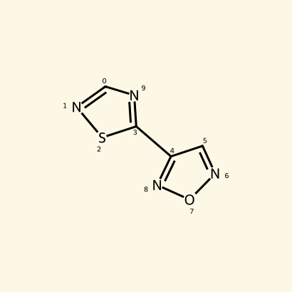 c1nsc(-c2cnon2)n1